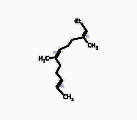 C[CH]/C=C(/C)CC/C=C(/C)CC/C=C/C